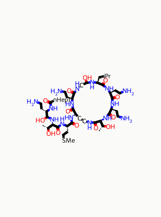 CCCCCCCC(=O)N[C@@H](CCN)C(O)N[C@H](C(=O)N[C@@H](CCSC)C(=O)N[C@H]1CCNC(=O)[C@H]([C@@H](C)O)NC(=O)[C@H](CCN)NC(=O)[C@H](CCN)NC(=O)[C@H](CC(C)C)NC(O)CNC(=O)[C@H](CCN)NC1=O)[C@@H](C)O